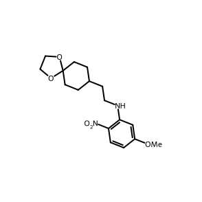 COc1ccc([N+](=O)[O-])c(NCCC2CCC3(CC2)OCCO3)c1